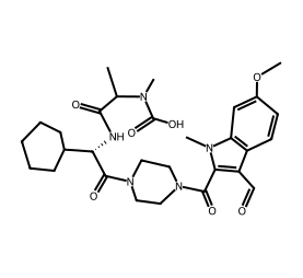 COc1ccc2c(C=O)c(C(=O)N3CCN(C(=O)[C@@H](NC(=O)C(C)N(C)C(=O)O)C4CCCCC4)CC3)n(C)c2c1